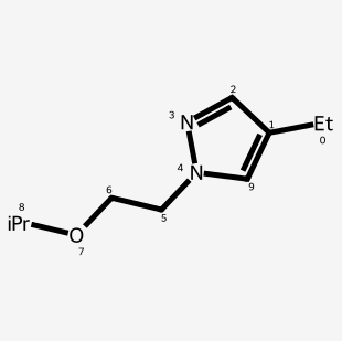 CCc1cnn(CCOC(C)C)c1